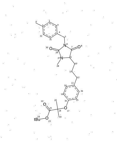 Cc1ccc(CN2C(=O)C(CCCc3ccc(OC(C)(C)C(=O)OC(C)(C)C)cc3)N(C)C2=O)cc1